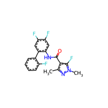 Cc1nn(C)c(F)c1C(=O)Nc1cc(F)c(F)cc1-c1ccccc1F